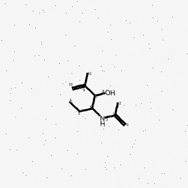 C=C(C)NC(CC)C(O)C(=C)C